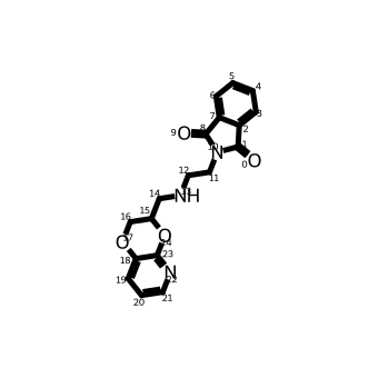 O=C1c2ccccc2C(=O)N1CCNCC1COc2cccnc2O1